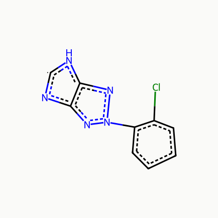 Clc1ccccc1-n1nc2n[c][nH]c2n1